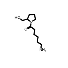 NCCCCCC(=O)N1CCCC1CO